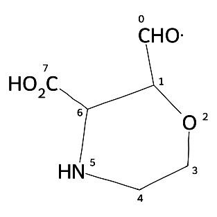 O=[C]C1OCCNC1C(=O)O